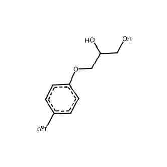 CCCc1ccc(OCC(O)CO)cc1